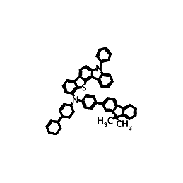 CC1(C)c2ccccc2-c2ccc(-c3ccc(N(c4cccc5c4sc4c5ccc5c4c4ccccc4n5-c4ccccc4)C4C=CC(C5C=CCCC5)CC4)cc3)cc21